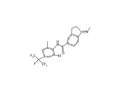 CCc1cc(C(F)(C(F)(F)F)C(F)(F)F)cc(C)c1NC(=O)c1ccc2c(c1)CC/C2=N\C